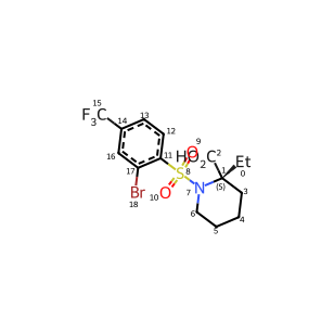 CC[C@@]1(C(=O)O)CCCCN1S(=O)(=O)c1ccc(C(F)(F)F)cc1Br